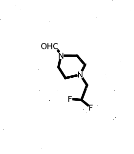 O=CN1CCN(CC(F)F)CC1